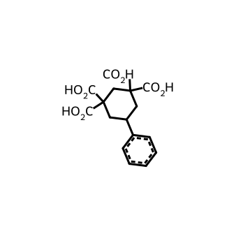 O=C(O)C1(C(=O)O)CC(c2ccccc2)CC(C(=O)O)(C(=O)O)C1